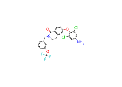 Nc1cc(Cl)c(Oc2ccc3c(c2)CCN(Cc2cccc(OC(F)(F)F)c2)C3=O)c(Cl)c1